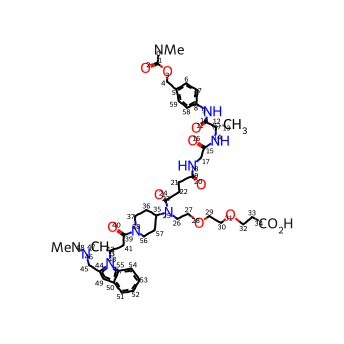 CNC(=O)OCc1ccc(NC(=O)[C@H](C)NC(=O)CNC(=O)CCC(=O)N(CCOCCOCCC(=O)O)C2CCN(C(=O)CCn3c(CN(C)NC)cc4ccccc43)CC2)cc1